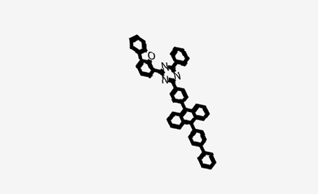 c1ccc(-c2ccc(-c3c4ccccc4c(-c4ccc(-c5nc(-c6ccccc6)nc(-c6cccc7c6oc6ccccc67)n5)cc4)c4ccccc34)cc2)cc1